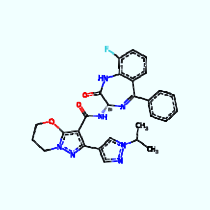 CC(C)n1cc(-c2nn3c(c2C(=O)N[C@H]2N=C(c4ccccc4)c4cccc(F)c4NC2=O)OCCC3)cn1